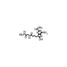 CCCCNc1nc(N)c2nc(O)n(CCCC(=O)NCC(=O)NC(C)(C)C)c2n1